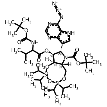 CC(C)C(NC(=O)OC(C)(C)C)C(=O)O[C@@H]1[C@@H]2O[Si](C(C)C)(C(C)C)O[Si](C(C)C)(C(C)C)OC[C@H]2N(C(=O)OC(C)(C)C)[C@H]1c1c[nH]c2c(N=[N+]=[N-])ncnc12